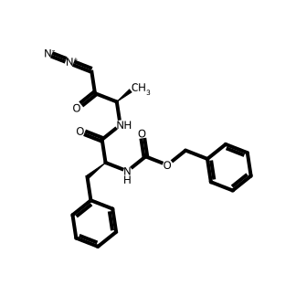 C[C@@H](NC(=O)[C@H](Cc1ccccc1)NC(=O)OCc1ccccc1)C(=O)C=[N+]=[N-]